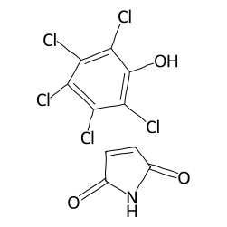 O=C1C=CC(=O)N1.Oc1c(Cl)c(Cl)c(Cl)c(Cl)c1Cl